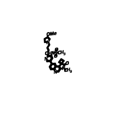 COC1CCN(CCCOc2ncc(-c3ccc4ncc5c(c4c3)C3(CCC3)C(=O)N5C)cc2NS(C)(=O)=O)C1